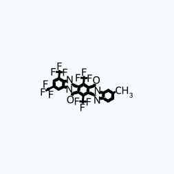 Cc1ccc2nc3c4c(C(F)(F)F)c5c(=O)n6c7cc(C(F)(F)F)cc(C(F)(F)F)c7nc6c5c(C(F)(F)F)c4c(=O)n3c2c1